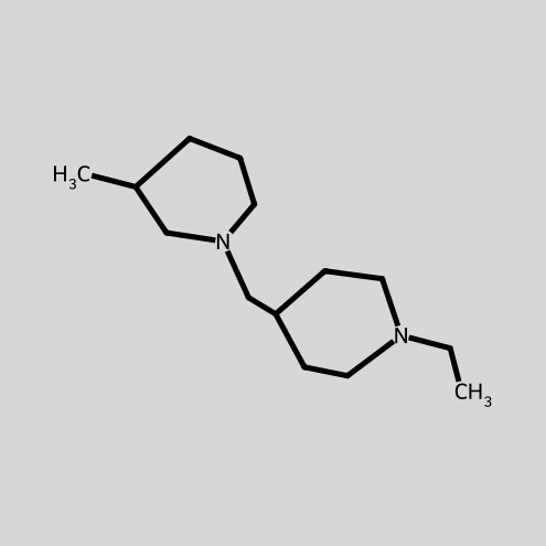 CCN1CCC(CN2CCCC(C)C2)CC1